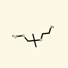 CC(C)CCOC(C)(C)CON